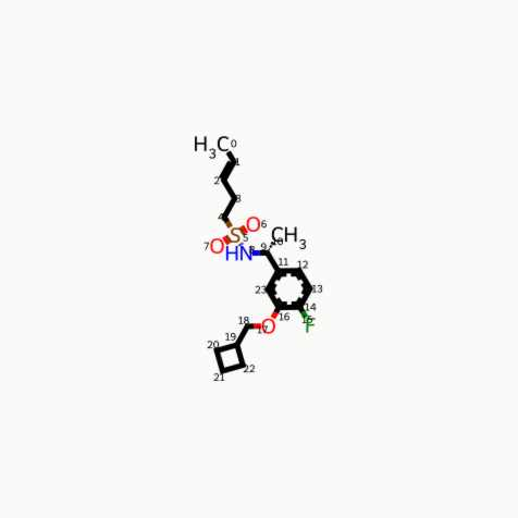 C/C=C/CCS(=O)(=O)N[C@H](C)c1ccc(F)c(OCC2CCC2)c1